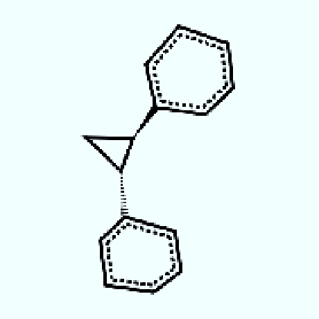 c1ccc([C@@H]2C[C@H]2c2ccccc2)cc1